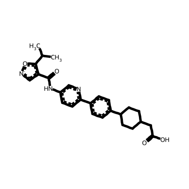 CC(C)c1oncc1C(=O)Nc1ccc(-c2ccc(C3CCC(CC(=O)O)CC3)cc2)nc1